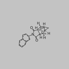 O=C1[C@@H]2[C@@H]3CC[C@@H]([C@H]4C[C@H]43)[C@@H]2C(=O)N1c1ccc2ccccc2c1